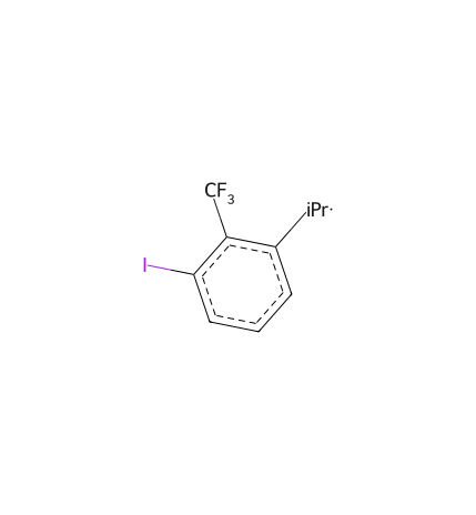 C[C](C)c1cccc(I)c1C(F)(F)F